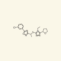 CCn1c(SC(C)c2noc(-c3cccc(Cl)c3)n2)nnc1C1CCCO1